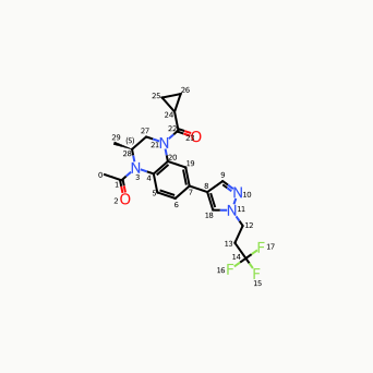 CC(=O)N1c2ccc(-c3cnn(CCC(F)(F)F)c3)cc2N(C(=O)C2CC2)C[C@@H]1C